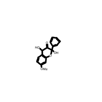 COc1ccc2c(c1)OC(O)(c1ccccc1)C(=O)C2O